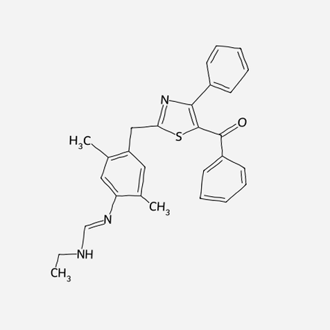 CCN/C=N/c1cc(C)c(Cc2nc(-c3ccccc3)c(C(=O)c3ccccc3)s2)cc1C